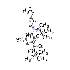 CC/C=C/C=C(/c1cc(C(=O)NC(C)(C)C)cc(Br)n1)N(C)C(C)(C)C